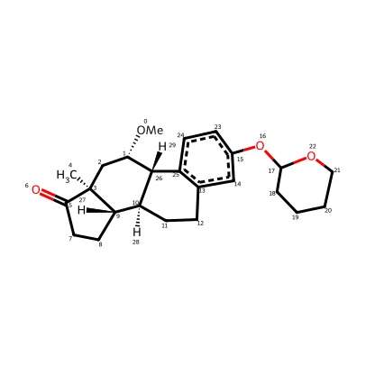 CO[C@H]1C[C@]2(C)C(=O)CC[C@H]2[C@@H]2CCc3cc(OC4CCCCO4)ccc3[C@H]21